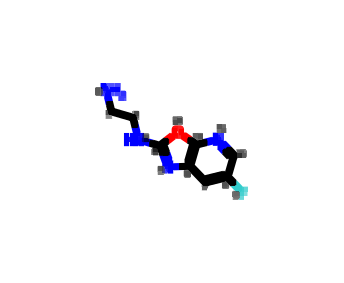 NCCNc1nc2cc(F)cnc2o1